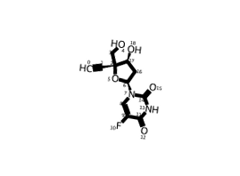 C#C[C@]1(CO)O[C@H](n2cc(F)c(=O)[nH]c2=O)C[C@@H]1O